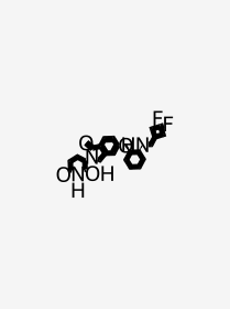 O=C1CCC(N2Cc3cc(O[C@@H]4CCCC[C@H]4NCC4CC(F)(F)C4)ccc3C2=O)C(O)N1